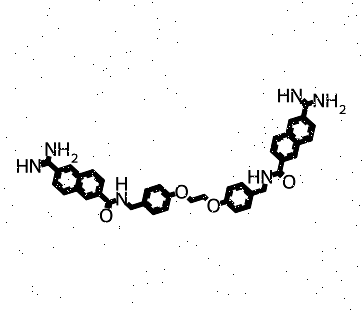 N=C(N)c1ccc2cc(C(=O)NCc3ccc(OCCOc4ccc(CNC(=O)c5ccc6cc(C(=N)N)ccc6c5)cc4)cc3)ccc2c1